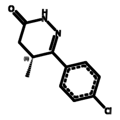 C[C@@H]1CC(=O)NN=C1c1ccc(Cl)cc1